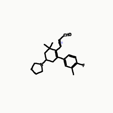 Cc1cc(C2=C(/C=C/C=O)C(C)(C)CC(N3CCCC3)C2)ccc1F